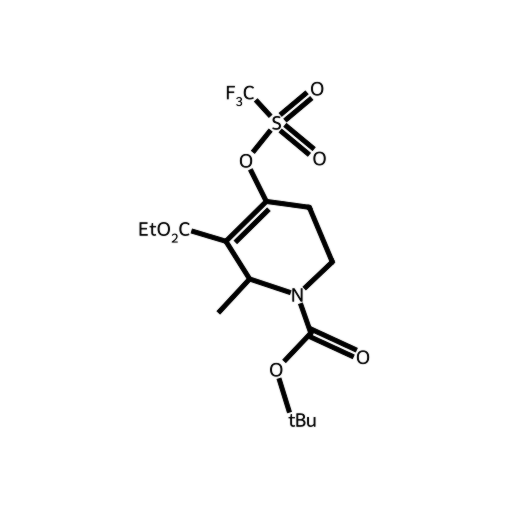 CCOC(=O)C1=C(OS(=O)(=O)C(F)(F)F)CCN(C(=O)OC(C)(C)C)C1C